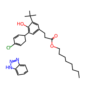 CCCCCCCCOC(=O)CCc1cc(C2C=CC(Cl)=CC2)c(O)c(C(C)(C)C)c1.c1ccc2[nH]nnc2c1